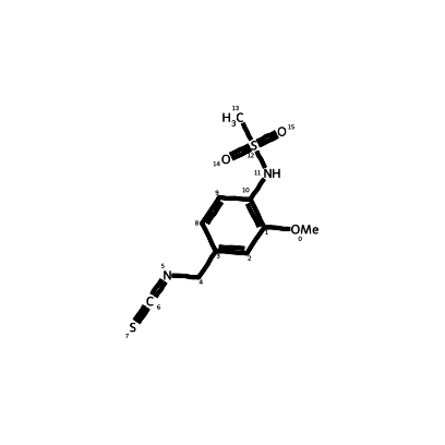 COc1cc(CN=C=S)ccc1NS(C)(=O)=O